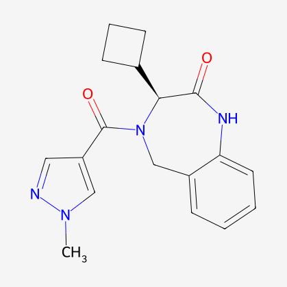 Cn1cc(C(=O)N2Cc3ccccc3NC(=O)[C@@H]2C2CCC2)cn1